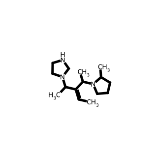 C/C=C(/C(C)N1CCNC1)C(C)N1CCCC1C